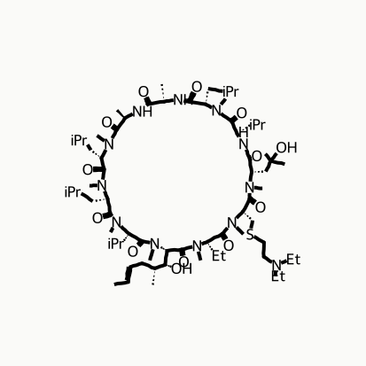 C/C=C/C[C@@H](C)[C@@H](O)[C@H]1C(=O)N(C)[C@@H](CC)C(=O)N(C)[C@@H](CSCCN(CC)CC)C(=O)N(C)[C@@H](CC(C)(C)O)C(=O)N[C@@H](C(C)C)C(=O)N(C)[C@@H](CC(C)C)C(=O)N[C@@H](C)C(=O)N[C@H](C)C(=O)N(C)[C@@H](CC(C)C)C(=O)N(C)[C@@H](CC(C)C)C(=O)N(C)[C@@H](C(C)C)C(=O)N1C